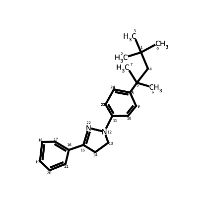 CC(C)(C)CC(C)(C)c1ccc(N2CCC(c3ccccc3)=N2)cc1